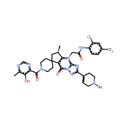 CC(=O)N1CC=C(c2nc3n(CC(=O)Nc4ccc(C(F)(F)F)cc4Cl)c4c(c(=O)n3n2)C2(CCN(C(=O)c3ncnc(C)c3O)CC2)C[C@H]4C)CC1